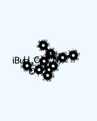 CCC(C)c1ccc(Oc2ccc(C3(c4cc(C)cc(C)c4)c4ccccc4-c4ccc(N(c5ccc(-c6ccccc6)cc5)c5ccc(-c6ccccc6)cc5)cc43)cc2)cc1